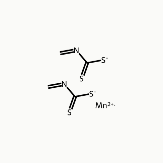 C=NC(=S)[S-].C=NC(=S)[S-].[Mn+2]